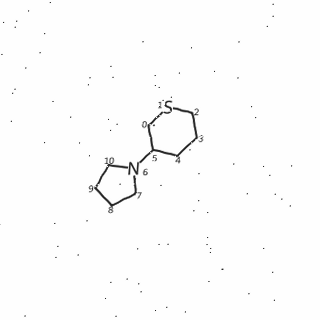 [CH]1SCCCC1N1CCCC1